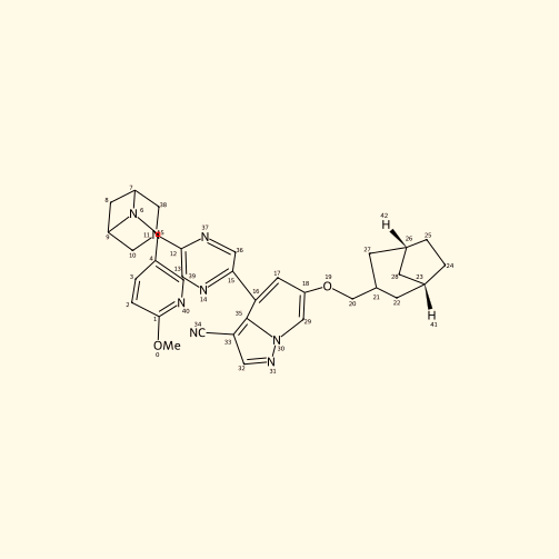 COc1ccc(CN2C3CC2CN(c2cnc(-c4cc(OCC5C[C@H]6CC[C@@H](C5)C6)cn5ncc(C#N)c45)cn2)C3)cn1